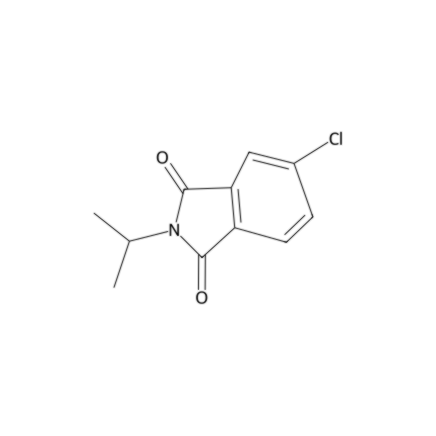 CC(C)N1C(=O)c2ccc(Cl)cc2C1=O